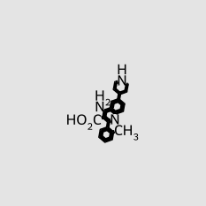 Cc1ccccc1-c1nc2ccc(C3CCNCC3)cc2c(N)c1C(=O)O